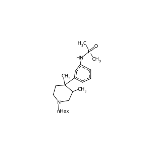 CCCCCCN1CCC(C)(c2cccc(NP(C)(C)=O)c2)C(C)C1